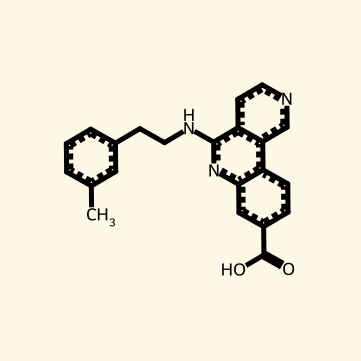 Cc1cccc(CCNc2nc3cc(C(=O)O)ccc3c3cnccc23)c1